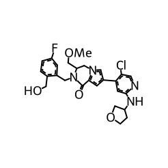 COCC1Cn2cc(-c3cc(NC4CCOC4)ncc3Cl)cc2C(=O)N1Cc1cc(F)ccc1CO